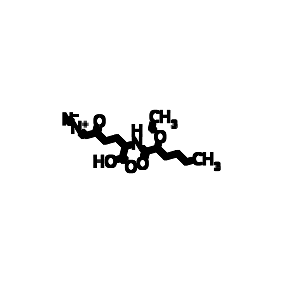 CCCCC(OCC)C(=O)NC(CCC(=O)C=[N+]=[N-])C(=O)O